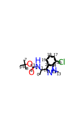 CC(NC(=O)OC(C)(C)C)c1nn(C)c2c(Cl)cccc12